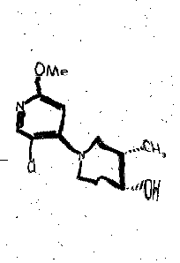 COc1cc(N2CC[C@@H](O)[C@@H](C)C2)c(Cl)cn1